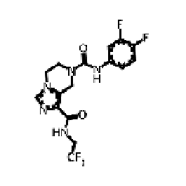 O=C(NCC(F)(F)F)c1ncn2c1CN(C(=O)Nc1ccc(F)c(F)c1)CC2